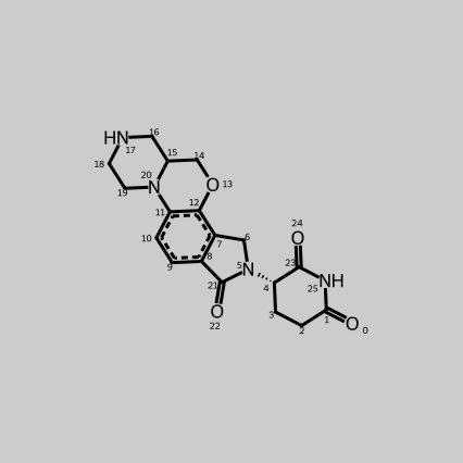 O=C1CC[C@H](N2Cc3c(ccc4c3OCC3CNCCN43)C2=O)C(=O)N1